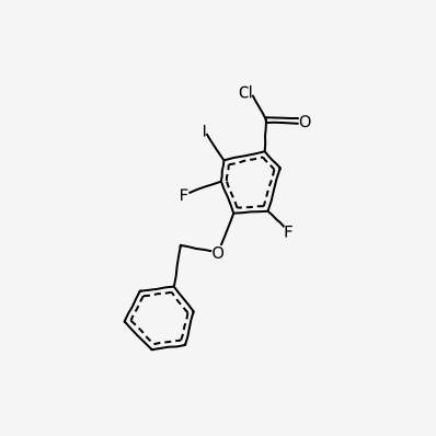 O=C(Cl)c1cc(F)c(OCc2ccccc2)c(F)c1I